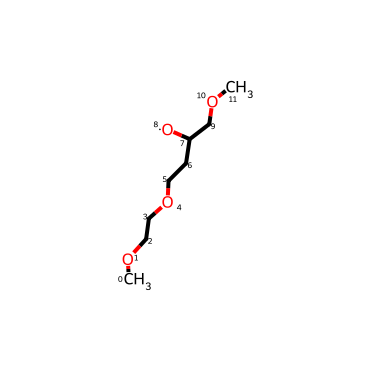 COCCOCCC([O])COC